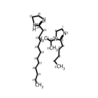 CCCCCC1=NCCN1C(C)C.CCCCCCCCCCCC1=NCCN1